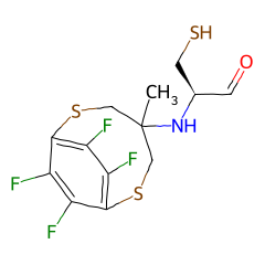 CC1(N[C@H](C=O)CS)CSc2c(F)c(F)c(c(F)c2F)SC1